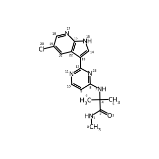 CNC(=O)C(C)(C)Nc1ccnc(-c2c[nH]c3ncc(Cl)cc23)n1